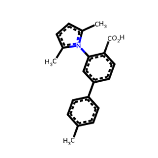 Cc1ccc(-c2ccc(C(=O)O)c(-n3c(C)ccc3C)c2)cc1